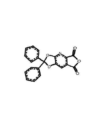 O=C1OC(=O)c2nc3c(cc21)OC(c1ccccc1)(c1ccccc1)O3